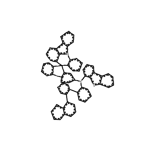 c1ccc(-c2cccc3ccccc23)c(-c2ccccc2N(c2ccc3c(c2)C2(c4ccccc4-3)c3ccccc3-n3c4ccccc4c4cccc2c43)c2cccc3c2sc2ccccc23)c1